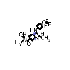 CC/N=C1/C=C(C(=O)N(C)CCO)C=C/C1=C(/C)Nc1ccc(OC(F)(F)F)cc1